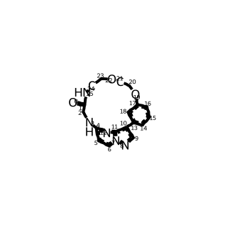 O=C1CNc2ccn3ncc(c3n2)-c2cccc(c2)OCCOCCN1